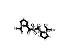 O=C(C1CCCN1C(I)I)S(=O)(=O)C(=O)C1CCCN1C(I)I